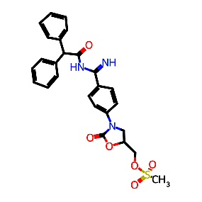 CS(=O)(=O)OCC1CN(c2ccc(C(=N)NC(=O)C(c3ccccc3)c3ccccc3)cc2)C(=O)O1